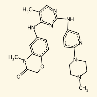 Cc1cnc(Nc2ccc(N3CCN(C)CC3)nc2)nc1Nc1ccc2c(c1)N(C)C(=O)CO2